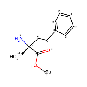 CC(C)(C)OC(=O)[C@](N)(CCc1ccccc1)C(=O)O